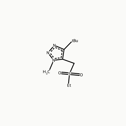 CCS(=O)(=O)Cc1c(C(C)(C)C)nnn1C